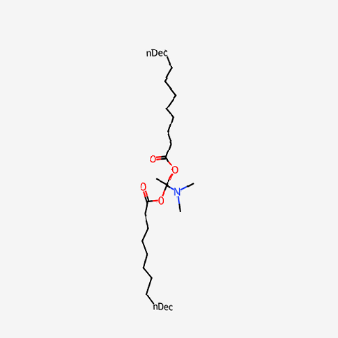 CCCCCCCCCCCCCCCCCC(=O)OC(C)(OC(=O)CCCCCCCCCCCCCCCCC)N(C)C